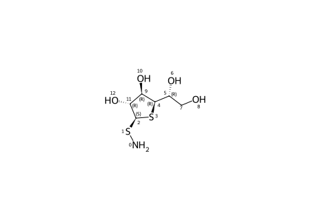 NS[C@@H]1S[C@H]([C@H](O)CO)[C@H](O)[C@H]1O